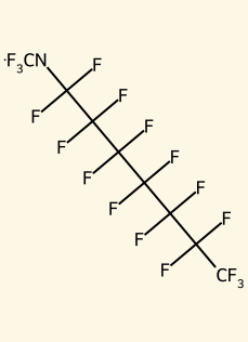 FC(F)(F)[N]C(F)(F)C(F)(F)C(F)(F)C(F)(F)C(F)(F)C(F)(F)C(F)(F)F